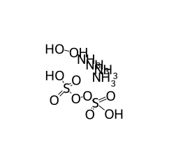 N.N.N.N.O=S(=O)(O)OOS(=O)(=O)O.OO